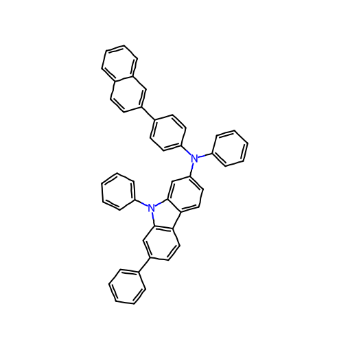 c1ccc(-c2ccc3c4ccc(N(c5ccccc5)c5ccc(-c6ccc7ccccc7c6)cc5)cc4n(-c4ccccc4)c3c2)cc1